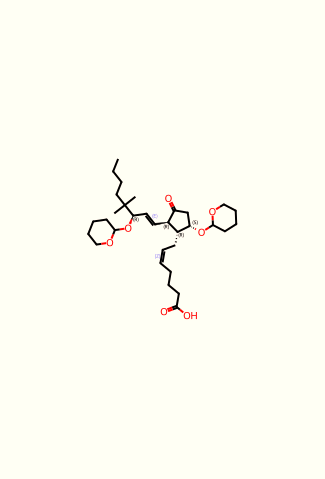 CCCCC(C)(C)[C@@H](/C=C/[C@H]1C(=O)C[C@H](OC2CCCCO2)[C@@H]1C/C=C\CCCC(=O)O)OC1CCCCO1